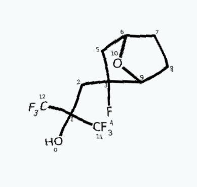 OC(CC1(F)CC2CCC1O2)(C(F)(F)F)C(F)(F)F